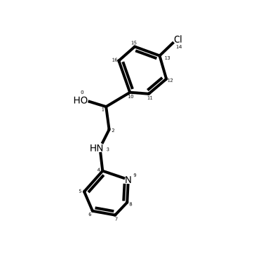 OC(CNc1ccccn1)c1ccc(Cl)cc1